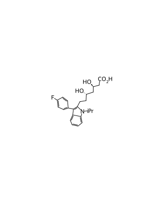 CC(C)n1c(CC[C@H](O)C[C@@H](O)CC(=O)O)c(-c2ccc(F)cc2)c2ccccc21